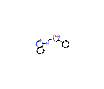 c1ccc(-c2cc(CNc3ncnc4ccccc34)on2)cc1